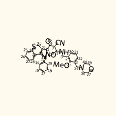 COc1c(CNC(=O)C(C#N)C(=O)c2nn(-c3ccccc3)c3c2CSc2ccccc2-3)cccc1CN1CCOCC1